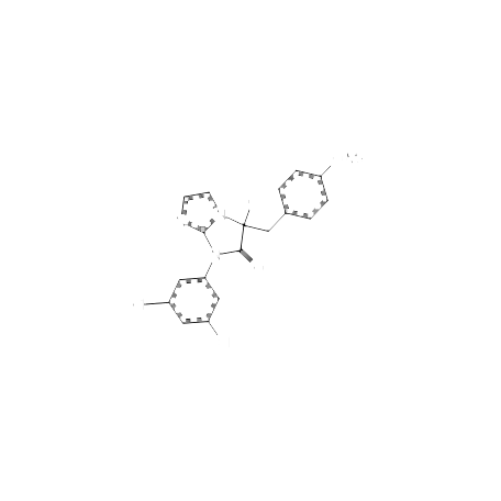 COc1ccc(CC2(C)C(=O)N(c3cc(Cl)cc(Cl)c3)c3nccn32)cc1